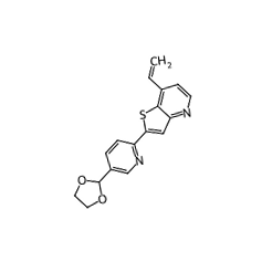 C=Cc1ccnc2cc(-c3ccc(C4OCCO4)cn3)sc12